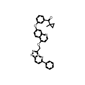 CC1(C(=O)c2cccc(Oc3ccc4c(OCc5nnc6ccc(-c7ccccc7)nn56)ccnc4c3)c2)CC1